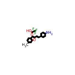 Cc1ccc2cc(C=Cc3ccc(N)cc3)oc2c1.O=C(O)C(F)(F)F